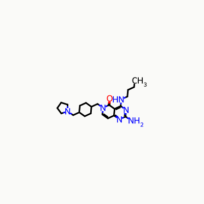 CCCCNc1nc(N)nc2ccn(CC3CCC(CN4CCCC4)CC3)c(=O)c12